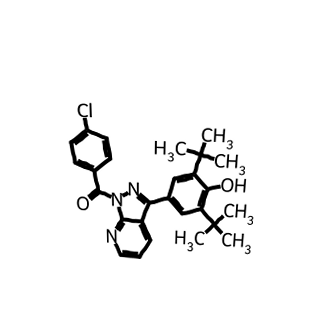 CC(C)(C)c1cc(-c2nn(C(=O)c3ccc(Cl)cc3)c3ncccc23)cc(C(C)(C)C)c1O